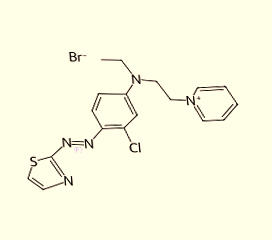 CCN(CC[n+]1ccccc1)c1ccc(/N=N/c2nccs2)c(Cl)c1.[Br-]